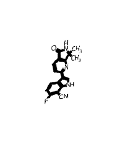 CC1(C)NC(=O)c2ccc(-c3c[nH]c4c(C#N)c(F)ccc34)nc21